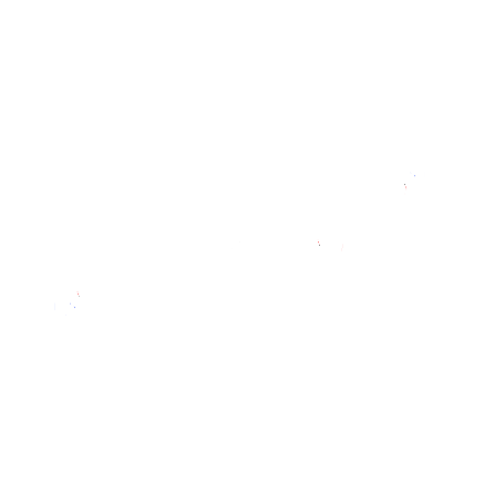 CCCCCCCCCCCCCCCCCC(=O)O.NC(=O)CCCCCCCCCCCCCCCCCCCCCCCCCCCCCCCCCCCCC(N)=O